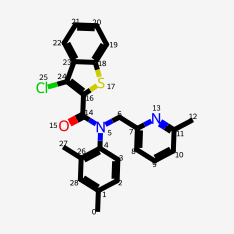 Cc1ccc(N(Cc2cccc(C)n2)C(=O)c2sc3ccccc3c2Cl)c(C)c1